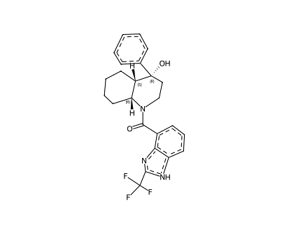 O=C(c1cccc2[nH]c(C(F)(F)F)nc12)N1CC[C@](O)(c2ccccc2)[C@H]2CCCC[C@H]21